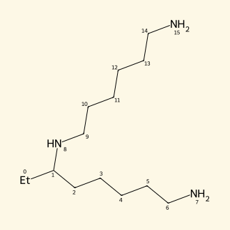 CCC(CCCCCN)NCCCCCCN